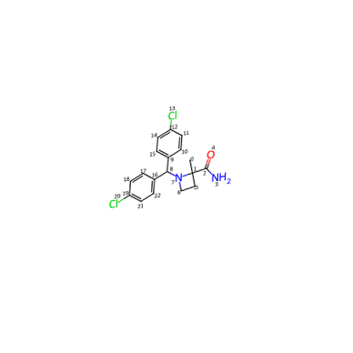 CC1(C(N)=O)[CH]CN1C(c1ccc(Cl)cc1)c1ccc(Cl)cc1